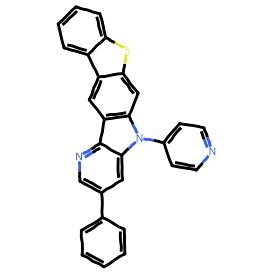 c1ccc(-c2cnc3c4cc5c(cc4n(-c4ccncc4)c3c2)sc2ccccc25)cc1